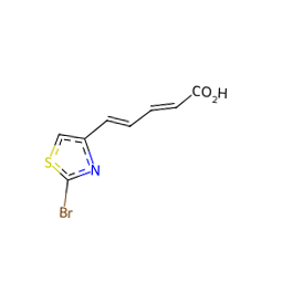 O=C(O)/C=C/C=C/c1csc(Br)n1